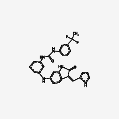 CC(F)(F)c1cccc(NC(=O)Nc2cccc(Nc3ccc4c(c3)NC(=O)/C4=C\c3ccc[nH]3)c2)c1